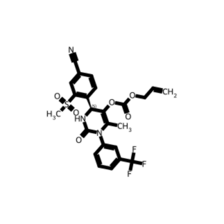 C=CCOC(=O)OC1=C(C)N(c2cccc(C(F)(F)F)c2)C(=O)N[C@H]1c1ccc(C#N)cc1S(C)(=O)=O